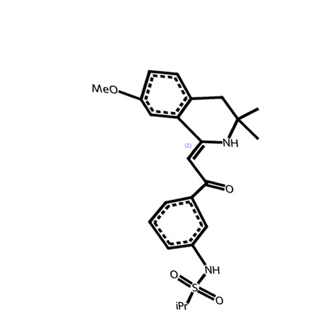 COc1ccc2c(c1)/C(=C/C(=O)c1cccc(NS(=O)(=O)C(C)C)c1)NC(C)(C)C2